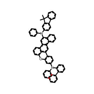 CC1(C)c2ccccc2-c2ccc(N(c3ccccc3)c3cc4c5cccc6c5c(cc4c4ccccc34)-c3ccc(N(c4ccccc4)c4ccccc4-c4ccccc4)cc3O6)cc21